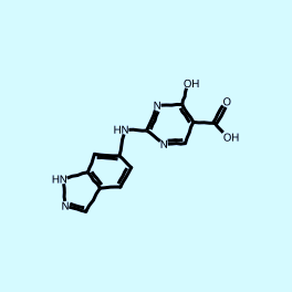 O=C(O)c1cnc(Nc2ccc3cn[nH]c3c2)nc1O